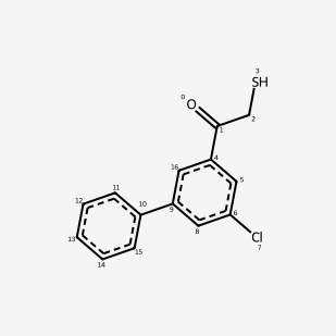 O=C(CS)c1cc(Cl)cc(-c2ccccc2)c1